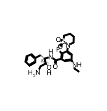 CCNc1cc(C(=O)N[C@@H](Cc2ccccc2)[C@H](O)CN)c(F)c(N2CCCCS2(=O)=O)c1